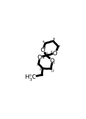 CCC1COC2(OCCCO2)OC1